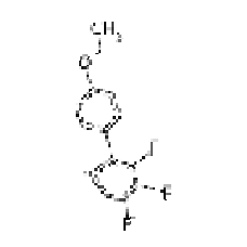 CCOc1ccc(-c2[c]cc(F)c(F)c2F)cc1